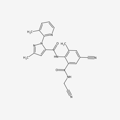 Cc1cc(C(=O)Nc2c(C)cc(C#N)cc2C(=O)NCC#N)n(-c2ncccc2C)n1